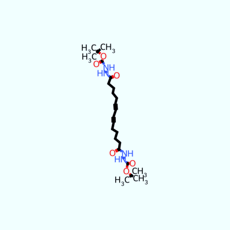 CC(C)(C)OC(=O)NNC(=O)CCCCC#CC#CCCCCC(=O)NNC(=O)OC(C)(C)C